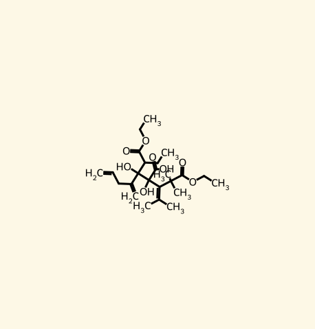 C=CCC(=C)C(O)(C(CC)C(=O)OCC)C(O)(C(=O)O)C(=C(C)C)C(C)(C)C(=O)OCC